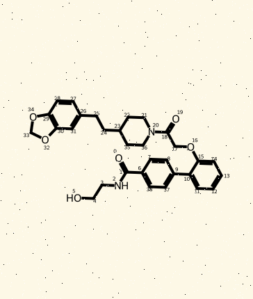 O=C(NCCO)c1ccc(-c2ccccc2OCC(=O)N2CCC(CCc3ccc4c(c3)OCO4)CC2)cc1